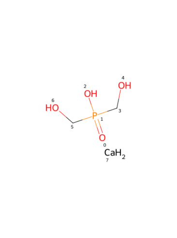 O=P(O)(CO)CO.[CaH2]